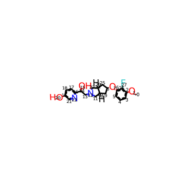 COc1cccc(O[C@@H]2C[C@@H]3CN(CC(O)c4ccc(O)cn4)C[C@@H]3C2)c1F